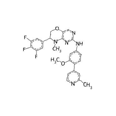 COc1cc(Nc2ncc3c(n2)N(C)C(c2cc(F)c(F)c(F)c2)CO3)ccc1-c1ccnc(C)c1